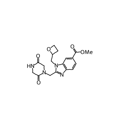 COC(=O)c1ccc2nc(CN3CC(=O)NCC3=O)n(CC3CCO3)c2c1